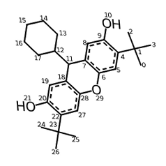 CC(C)(C)c1cc2c(cc1O)C(C1CCCCC1)c1cc(O)c(C(C)(C)C)cc1O2